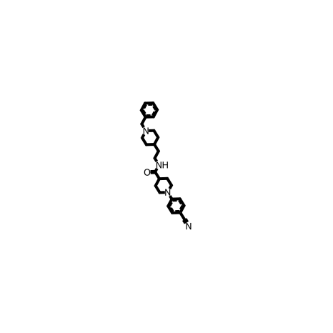 N#Cc1ccc(N2CCC(C(=O)NCCC3CCN(Cc4ccccc4)CC3)CC2)cc1